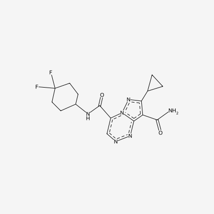 NC(=O)c1c(C2CC2)nn2c(C(=O)NC3CCC(F)(F)CC3)cnnc12